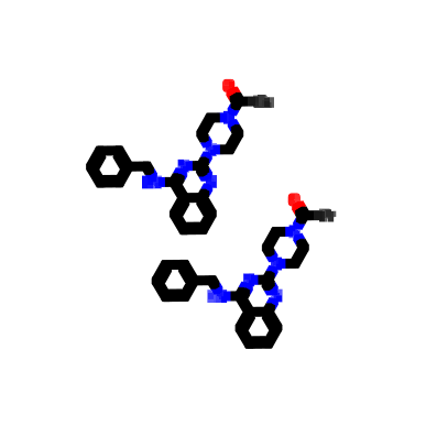 CC(C)(C)C(=O)N1CCN(c2nc(NCc3ccccc3)c3ccccc3n2)CC1.CC(C)C(=O)N1CCN(c2nc(NCc3ccccc3)c3ccccc3n2)CC1